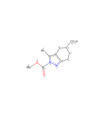 CC(C)c1c2c(nn1C(=O)OC(C)(C)C)CCC(C(=O)O)C2